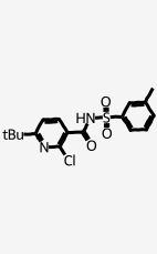 Cc1cccc(S(=O)(=O)NC(=O)c2ccc(C(C)(C)C)nc2Cl)c1